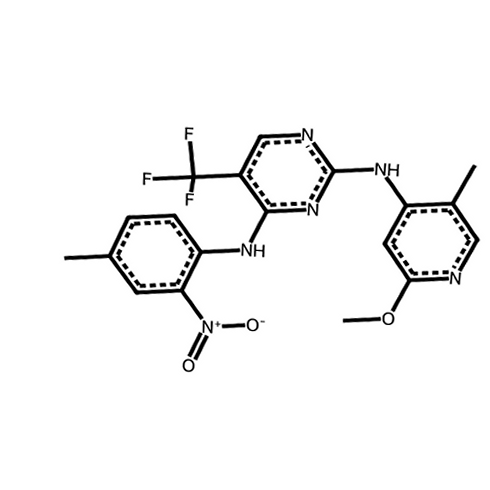 COc1cc(Nc2ncc(C(F)(F)F)c(Nc3ccc(C)cc3[N+](=O)[O-])n2)c(C)cn1